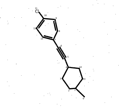 CC1CCC(C#Cc2ccc(Cl)cc2)CC1